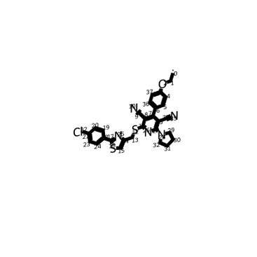 [CH2]COc1ccc(-c2c(C#N)c(SCc3csc(-c4ccc(Cl)cc4)n3)nc(N3CCCC3)c2C#N)cc1